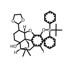 CC(C)(C)[Si](Oc1cc(I)c2c3c1O[C@H]1C(C4OCCO4)CCC4(O)[C@@H](C2)[N+](C)(C)CC[C@]314)(c1ccccc1)c1ccccc1